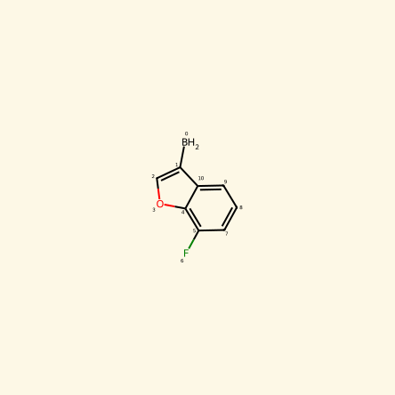 Bc1coc2c(F)cccc12